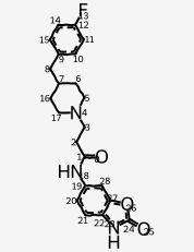 O=C(CCN1CCC(Cc2ccc(F)cc2)CC1)Nc1ccc2[nH]c(=O)oc2c1